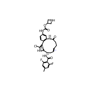 Cc1cc(F)c(C(=O)N[C@H]2C/C=C/CCC(=O)Nc3cc(NC(=O)OC4CNC4)ccc3-c3nc2[nH]c3Cl)c(F)c1